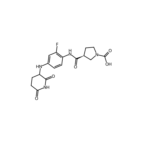 O=C1CCC(Nc2ccc(NC(=O)[C@H]3CCN(C(=O)O)C3)c(F)c2)C(=O)N1